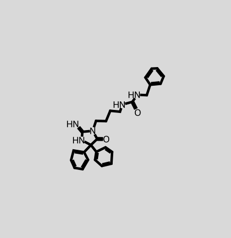 N=C1NC(c2ccccc2)(c2ccccc2)C(=O)N1CCCCNC(=O)NCc1ccccc1